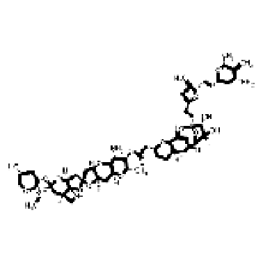 C=C1C[C@H](CC[C@]23OC([C@H]4C[C@@H](O2)C2O[C@@H](CC(=O)O[C@H]5[C@H](C)O[C@H]6C[C@H]7O[C@@]8(C[C@@H]9O[C@@](C)(O[C@H]%10C[C@@H](O)CO[C@H]%10CC)C[C@@H]%10CN[C@]%109O8)C[C@H]7OC6[C@@H]5N)CC[C@@H]2O4)C(O)(O)[C@H]3O)O[C@H]1CC[C@H]1C[C@@H](N)C(=C)[C@@H](C)O1